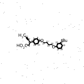 CC#CC(CC(=O)O)c1ccc(OCCCCOc2cccc(C(C)(C)C)c2)cc1